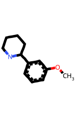 COc1cccc(C2CCCC[N]2)c1